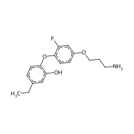 CCc1ccc(Oc2ccc(OCCCN)cc2F)c(O)c1